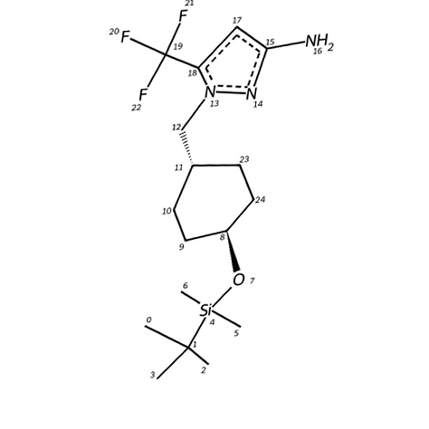 CC(C)(C)[Si](C)(C)O[C@H]1CC[C@H](Cn2nc(N)cc2C(F)(F)F)CC1